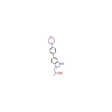 CC(O)CN1CNc2cc(-c3ccc(N4CCOCC4)cc3)ccc21